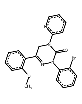 COc1ccccc1C1=NN(c2ccccc2Br)C(=O)N(c2ccccn2)C1